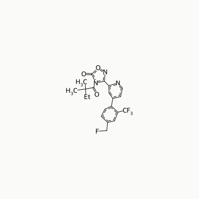 CCC(C)(C)C(=O)n1c(-c2cc(-c3ccc(CF)cc3C(F)(F)F)ccn2)noc1=O